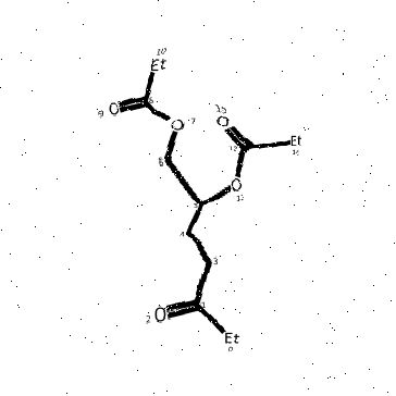 CCC(=O)CCC(COC(=O)CC)OC(=O)CC